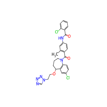 Cc1cc(NC(=O)c2ccccc2Cl)ccc1C(=O)N1CCCC(OCCn2cnnn2)c2cc(Cl)ccc21